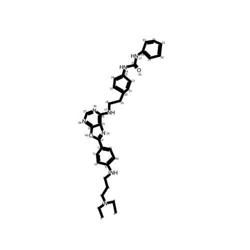 CCN(CC)CCCNc1ccc(-c2nc3c(NCCc4ccc(NC(=O)Nc5ccccc5)cc4)ncnc3o2)cc1